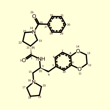 O=C(N[C@@H](Cc1ccc2c(c1)OCCO2)CN1CCCC1)[C@@H]1CCN(C(=O)c2ccccc2)C1